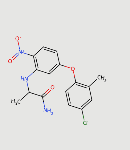 Cc1cc(Cl)ccc1Oc1ccc([N+](=O)[O-])c(NC(C)C(N)=O)c1